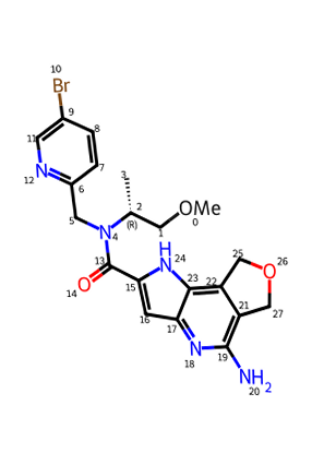 COC[C@@H](C)N(Cc1ccc(Br)cn1)C(=O)c1cc2nc(N)c3c(c2[nH]1)COC3